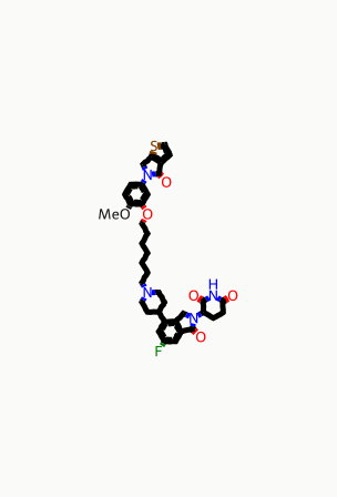 COc1ccc(N2Cc3sccc3C2=O)cc1OCCCCCCCN1CCC(c2cc(F)cc3c2CN(C2CCC(=O)NC2=O)C3=O)CC1